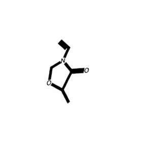 C=CN1COC(C)C1=O